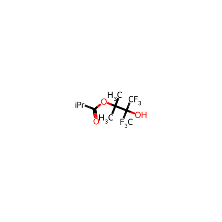 CC(C)C(=O)OC(C)(C)C(O)(C(F)(F)F)C(F)(F)F